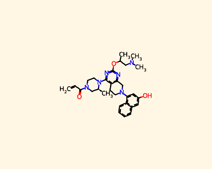 C=CC(=O)N1CCN(c2nc(OC(C)CN(C)C)nc3c2CCN(c2cc(O)cc4ccccc24)C3)[C@@H](C)C1